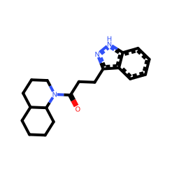 O=C(CCc1n[nH]c2ccccc12)N1CCCC2CCCCC21